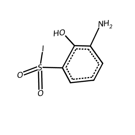 Nc1cccc(S(=O)(=O)I)c1O